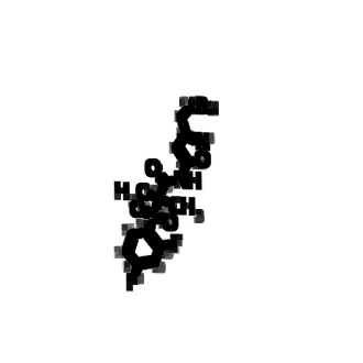 CC(C)(C)Cc1cc(NC(=O)C(C)(C)S(=O)(=O)c2ccc(F)cc2F)on1